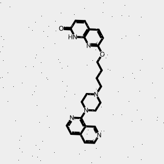 O=c1ccc2ccc(OCCCCN3CCN(c4nccc5ccncc45)CC3)nc2[nH]1